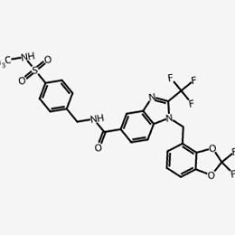 CNS(=O)(=O)c1ccc(CNC(=O)c2ccc3c(c2)nc(C(F)(F)F)n3Cc2cccc3c2OC(F)(F)O3)cc1